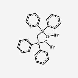 CC(C)O[Si](C[Si](OC(C)C)(c1ccccc1)c1ccccc1)(c1ccccc1)c1ccccc1